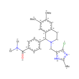 CCCCc1nc(Cl)c(CN2CCc3cc(OC)c(OC)cc3C2c2ccc(C(=O)N(CC)CC)cc2)[nH]1